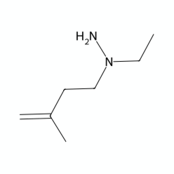 C=C(C)CCN(N)CC